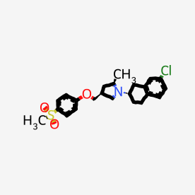 C[C@@H]1C[C@H](COc2ccc(S(C)(=O)=O)cc2)CN1[C@H]1CCc2ccc(Cl)cc2C1